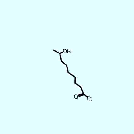 CCC(=O)CCCCCCC(C)O